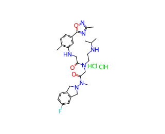 Cc1noc(-c2ccc(C)c(NCC(=O)N(CCNC(C)C)CC(=O)N(C)N3Cc4ccc(F)cc4C3)c2)n1.Cl.Cl